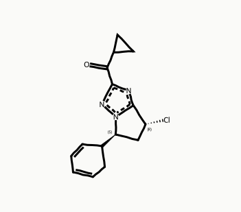 O=C(c1nc2n(n1)[C@H](C1C=CC=CC1)C[C@H]2Cl)C1CC1